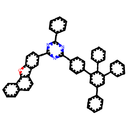 c1ccc(-c2cc(-c3ccccc3)c(-c3ccccc3)c(-c3ccc(-c4nc(-c5ccccc5)nc(-c5ccc6oc7c8ccccc8ccc7c6c5)n4)cc3)c2)cc1